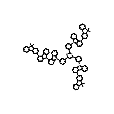 CC1(C)c2ccccc2-c2cc(-c3cccc4c3-c3ccccc3C4c3cccc4c3c3ccccc3n4-c3cccc(-c4cc(-c5cccc(-n6c7ccccc7c7c(-c8ccc9c(c8)-c8ccccc8C9(C)C)cccc76)c5)nc(-c5cccc(-n6c7ccccc7c7c(-c8ccc9c(c8)-c8ccccc8C9(C)C)cccc76)c5)n4)c3)ccc21